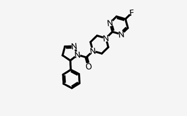 O=C(N1CCN(c2ncc(F)cn2)CC1)N1N=CCC1c1ccccc1